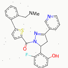 CNCc1ccccc1-c1ccc(C(=O)N2N=C(c3cccnc3)CC2c2c(O)cccc2F)s1